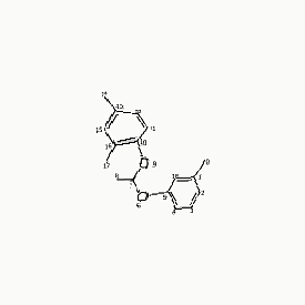 Cc1cccc(OC(C)Oc2ccc(C)cc2C)c1